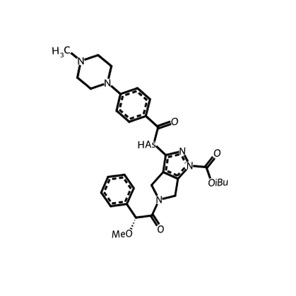 CO[C@@H](C(=O)N1Cc2c([AsH]C(=O)c3ccc(N4CCN(C)CC4)cc3)nn(C(=O)OCC(C)C)c2C1)c1ccccc1